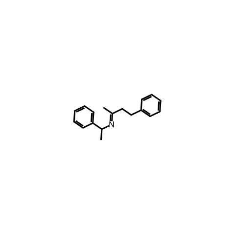 CC(CCc1ccccc1)=NC(C)c1ccccc1